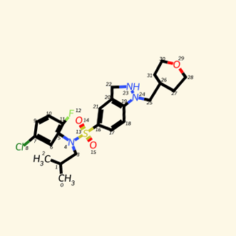 CC(C)CN(c1cc(Cl)ccc1F)S(=O)(=O)c1ccc2c(c1)CNN2CC1CCOCC1